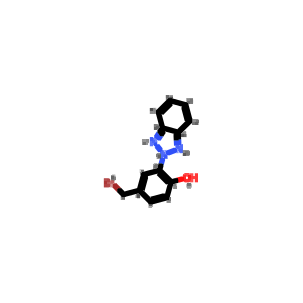 Oc1ccc(CBr)cc1-n1nc2ccccc2n1